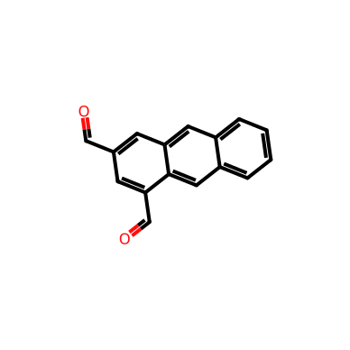 O=Cc1cc(C=O)c2cc3ccccc3cc2c1